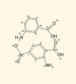 Nc1cc([N+](=O)[O-])ccc1C(=O)O.Nc1cccc(C(=O)O)c1